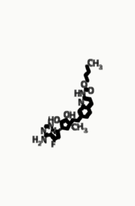 CCCCCOC(=O)Nc1ccc2ccc(CC[C@@]3(C)C[C@@H](c4cc(F)c5c(N)ncnn45)[C@H](O)[C@@H]3O)cc2n1